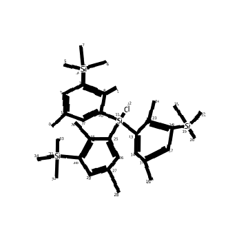 Cc1cc([Si](C)(C)C)c(C)c([Si](Cl)(c2cc(C)cc([Si](C)(C)C)c2C)c2cc(C)cc([Si](C)(C)C)c2C)c1